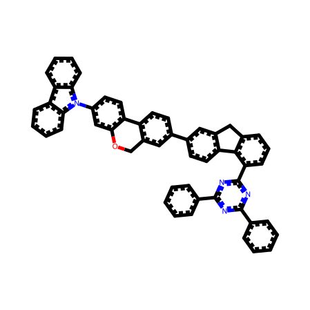 c1ccc(-c2nc(-c3ccccc3)nc(-c3cccc4c3-c3ccc(-c5ccc6c(c5)COc5cc(-n7c8ccccc8c8ccccc87)ccc5-6)cc3C4)n2)cc1